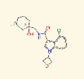 C[C@@H]1CCC[C@](O)(CNC(=O)c2cn(C3COC3)c3cccc(Cl)c23)C1